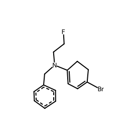 FCCN(Cc1ccccc1)C1=CC=C(Br)CC1